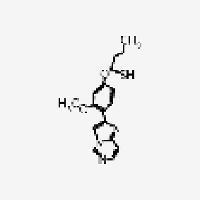 CCCC(S)Oc1ccc(-c2cn3cnccc3n2)c(OC)c1